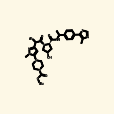 Cc1ncsc1-c1ccc(C(C)NC(=O)[C@@H]2C[C@@H](O)CN2C(=O)C(c2cc(N3CCN(C(=O)OC(C)(C)C)CC3)n(C)n2)C(C)C)cc1